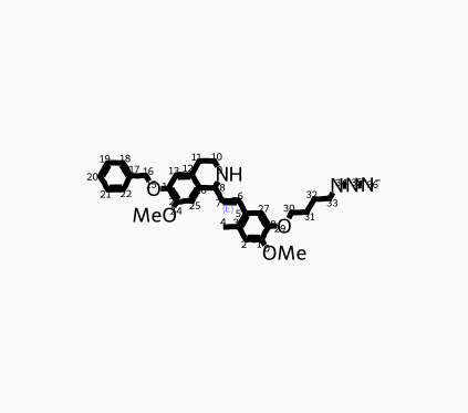 COc1cc(C)c(/C=C/C2NCCc3cc(OCc4ccccc4)c(OC)cc32)cc1OCCCCN=[N+]=[N-]